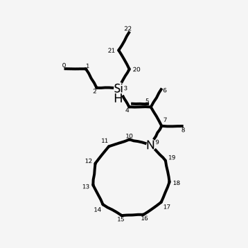 CCC[SiH](C=C(C)C(C)N1CCCCCCCCCC1)CCC